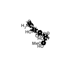 COc1cc(C2=CN(C)C(=C=O)C(C(=O)Nc3cccc(Sc4nc(CO)c(N5CCC6(CC5)CO[C@@H](C)[C@H]6N)nc4C)c3Cl)=C2O)ccc1O